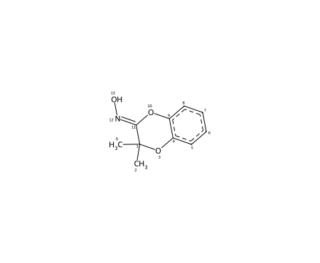 CC1(C)Oc2ccccc2OC1=NO